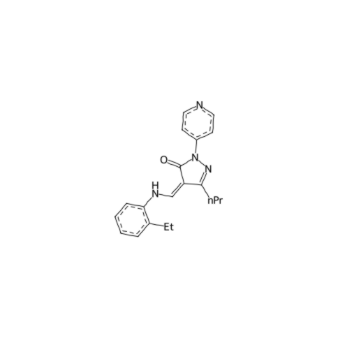 CCCC1=NN(c2ccncc2)C(=O)C1=CNc1ccccc1CC